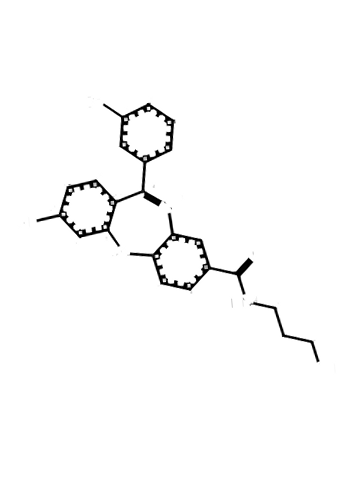 CCCCNC(=O)c1ccc2c(c1)N=C(c1cccc(Br)c1)c1ccc(F)cc1S2